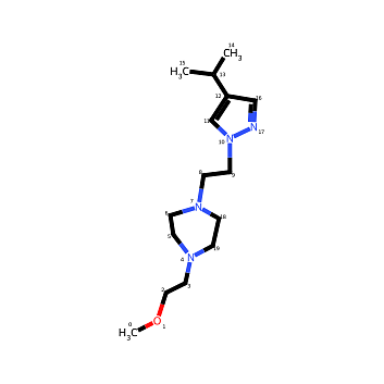 COCCN1CCN(CCn2cc(C(C)C)cn2)CC1